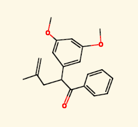 C=C(C)CC(C(=O)c1ccccc1)c1cc(OC)cc(OC)c1